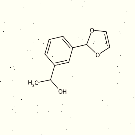 CC(O)c1cccc(C2OC=CO2)c1